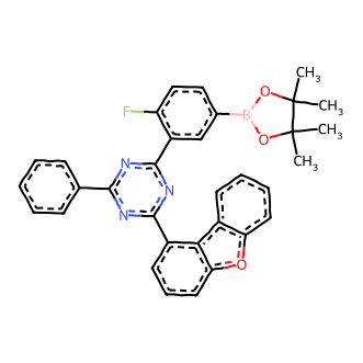 CC1(C)OB(c2ccc(F)c(-c3nc(-c4ccccc4)nc(-c4cccc5oc6ccccc6c45)n3)c2)OC1(C)C